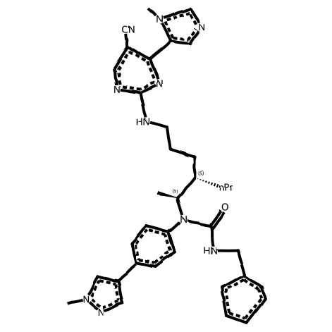 CCC[C@@H](CCCNc1ncc(C#N)c(-c2cncn2C)n1)[C@H](C)N(C(=O)NCc1ccccc1)c1ccc(-c2cnn(C)c2)cc1